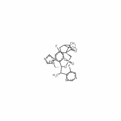 C[C@H](c1ncncc1F)[C@](Cn1cncn1)(OS(=O)(=O)C[C@]12CCC(CC1=O)C2(C)C)c1ccc(F)cc1F